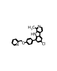 Cc1nccc2c1[nH]c1c(-c3ccc(OCc4ccccn4)cc3)cc(Cl)cc12